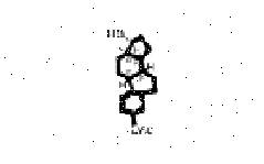 CC(=O)Oc1ccc2c(c1)CC[C@@H]1[C@H]3CC[C@@H](O)[C@]3(C)CC[C@@H]21